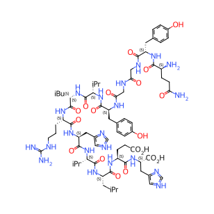 CC[C@H](C)[C@H](NC(=O)[C@@H](NC(=O)[C@H](Cc1ccc(O)cc1)NC(=O)CNC(=O)CNC(=O)[C@H](Cc1ccc(O)cc1)NC(=O)[C@@H](N)CCC(N)=O)C(C)C)C(=O)N[C@@H](CCCNC(=N)N)C(=O)N[C@@H](Cc1c[nH]cn1)C(=O)N[C@H](C(=O)N[C@@H](CC(C)C)C(=O)N[C@@H](CCC(=O)O)C(=O)N[C@@H](Cc1c[nH]cn1)C(=O)O)C(C)C